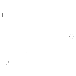 O=C1[C]=CC(=O)C(C(F)(F)F)=C1